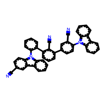 N#Cc1ccc2c(c1)c1ccccc1n2-c1ccccc1-c1cccc(-c2ccc(-n3c4ccccc4c4ccccc43)c(C#N)c2)c1C#N